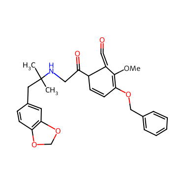 COC1=C(OCc2ccccc2)C=CC(C(=O)CNC(C)(C)Cc2ccc3c(c2)OCO3)C1=C=O